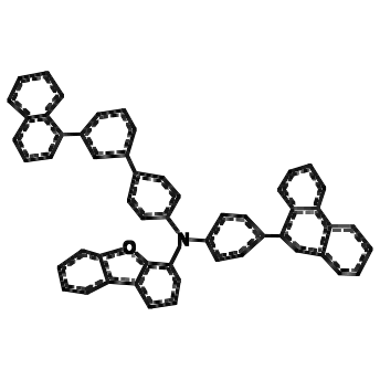 c1cc(-c2ccc(N(c3ccc(-c4cc5ccccc5c5ccccc45)cc3)c3cccc4c3oc3ccccc34)cc2)cc(-c2cccc3ccccc23)c1